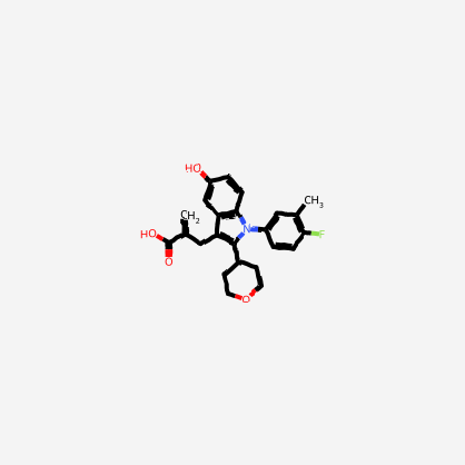 C=C(Cc1c(C2CCOCC2)n(-c2ccc(F)c(C)c2)c2ccc(O)cc12)C(=O)O